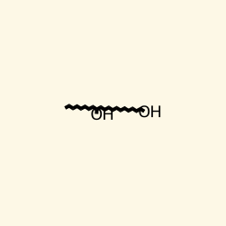 CCCCCCCCC(O)CCCCCCCCCCCO